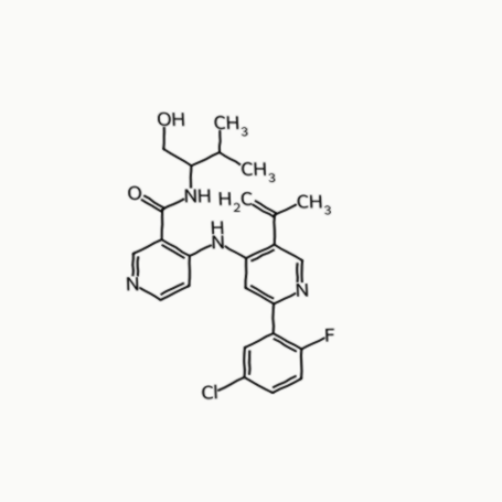 C=C(C)c1cnc(-c2cc(Cl)ccc2F)cc1Nc1ccncc1C(=O)NC(CO)C(C)C